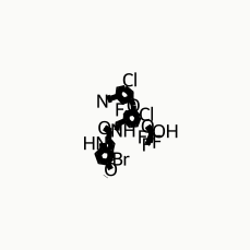 COc1ccc2[nH]c(C(=O)NCc3ccc(Cl)c(Oc4cc(Cl)cc(C#N)c4)c3F)cc2c1Br.O=C(O)C(F)(F)F